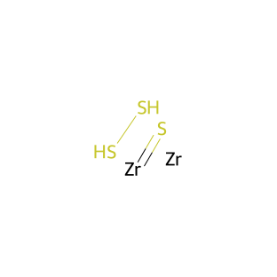 SS.[S]=[Zr].[Zr]